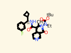 CCN(C(=O)OC(C)(C)C)n1c(C)c(C(=O)N[C@H](c2cccc(F)c2)C2CCC2)c2ccncc2c1=O